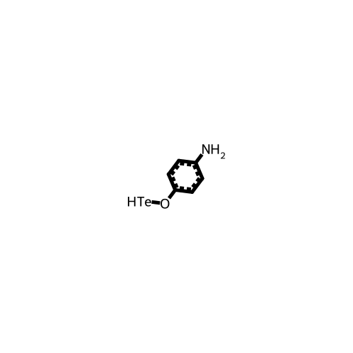 Nc1ccc(O[TeH])cc1